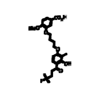 COc1ccc(C(=O)O)cc1OCCCCOc1ccc(C(=O)CCC(C)(C)F)c(O)c1C